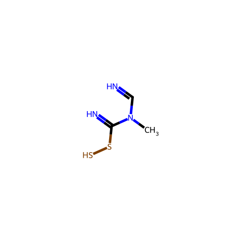 CN(C=N)C(=N)SS